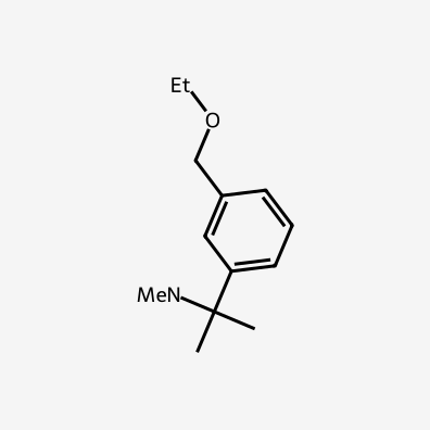 CCOCc1cccc(C(C)(C)NC)c1